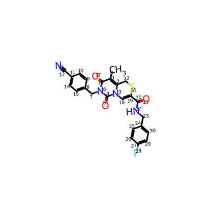 Cc1c2n(c(=O)n(Cc3ccc(C#N)cc3)c1=O)C=C(C(=O)NCc1ccc(F)cc1)SC2